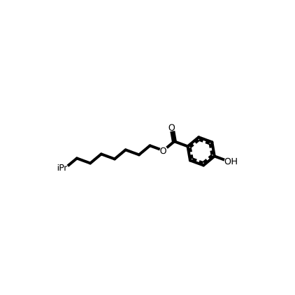 CC(C)CCCCCCCOC(=O)c1ccc(O)cc1